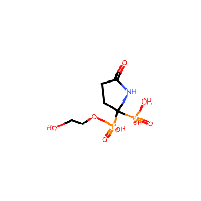 O=C1CCC(P(=O)(O)O)(P(=O)(O)OCCO)N1